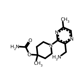 Cc1cnc(CN)c(N2CCC(C)(OC(N)=O)CC2)n1